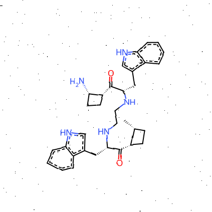 C[C@@H]1CC[C@@H]1C(=O)[C@H](Cc1c[nH]c2ccccc12)NCCN[C@@H](Cc1c[nH]c2ccccc12)C(=O)[C@@H]1CC[C@@H]1N